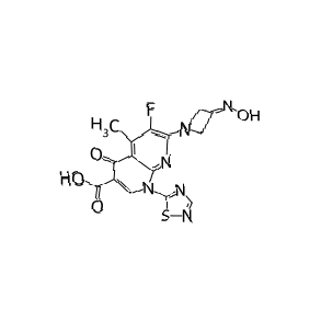 Cc1c(F)c(N2CC(=NO)C2)nc2c1c(=O)c(C(=O)O)cn2-c1ncns1